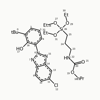 CC(C)(C)c1cccc(-n2nc3ccc(Cl)cc3n2)c1O.CCCOC(=O)NCCC[Si](OCC)(OCC)OCC